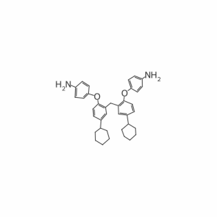 Nc1ccc(Oc2ccc(C3CCCCC3)cc2Cc2cc(C3CCCCC3)ccc2Oc2ccc(N)cc2)cc1